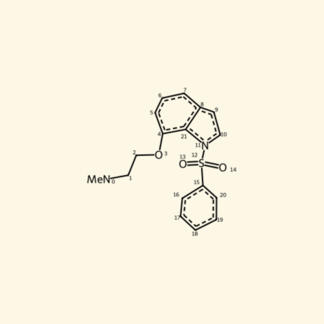 CNCCOc1cccc2ccn(S(=O)(=O)c3ccccc3)c12